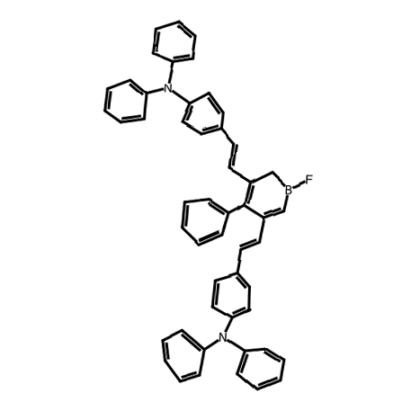 FB1C=C(/C=C/c2ccc(N(c3ccccc3)c3ccccc3)cc2)C(c2ccccc2)=C(/C=C/c2ccc(N(c3ccccc3)c3ccccc3)cc2)C1